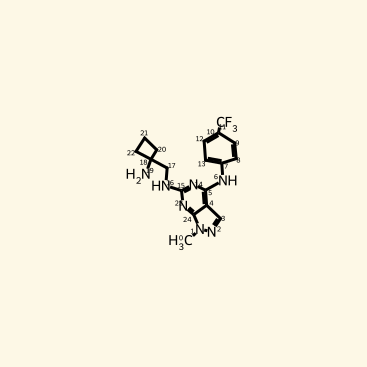 Cn1ncc2c(Nc3ccc(C(F)(F)F)cc3)nc(NCC3(N)CCC3)nc21